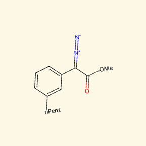 CCCCCc1cccc(C(=[N+]=[N-])C(=O)OC)c1